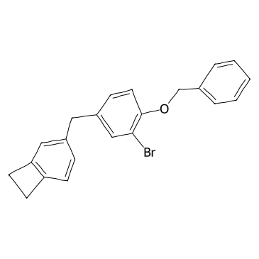 Brc1cc(Cc2ccc3c(c2)CC3)ccc1OCc1ccccc1